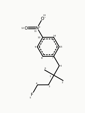 CC(C)(CCF)Cc1ccc([N+](=O)[O-])cc1